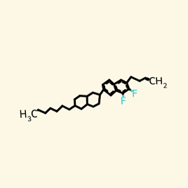 C=CCCc1cc2ccc(C3CCC4CC(CCCCCCC)CCC4C3)cc2c(F)c1F